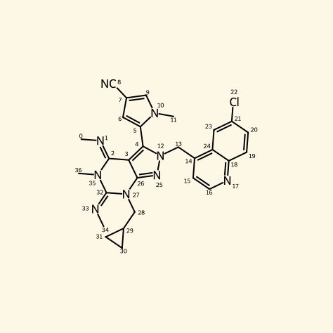 C/N=c1/c2c(-c3cc(C#N)cn3C)n(Cc3ccnc4ccc(Cl)cc34)nc2n(CC2CC2)/c(=N\C)n1C